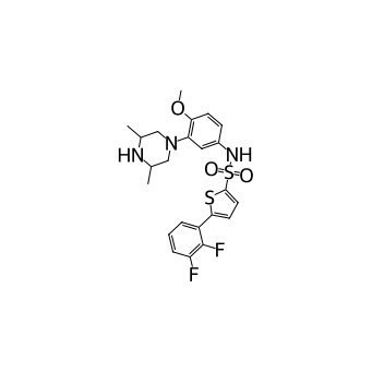 COc1ccc(NS(=O)(=O)c2ccc(-c3cccc(F)c3F)s2)cc1N1CC(C)NC(C)C1